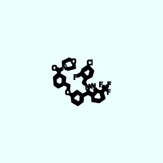 O=C(c1cccc(COc2cccc(-c3c4cccc(C(F)(F)F)c4nn3Cc3ccc(Cl)cc3F)c2)c1)N1CCOCC1